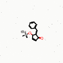 CC(C)(C)[Si](C)(C)OC1C=CC(=O)C1=Cc1ccccc1